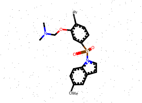 COc1ccc2c(ccn2S(=O)(=O)c2ccc(C(C)C)c(OCN(C)C)c2)c1